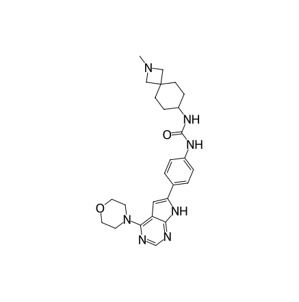 CN1CC2(CCC(NC(=O)Nc3ccc(-c4cc5c(N6CCOCC6)ncnc5[nH]4)cc3)CC2)C1